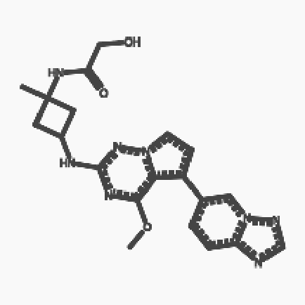 COc1nc(NC2CC(C)(NC(=O)CO)C2)nn2ccc(-c3ccc4ncnn4c3)c12